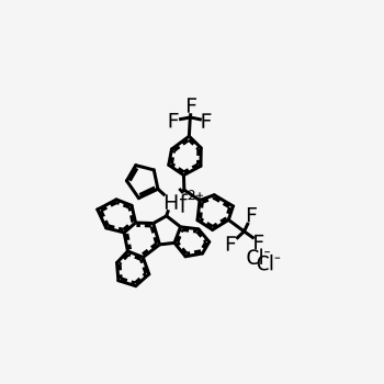 FC(F)(F)c1ccc([C](c2ccc(C(F)(F)F)cc2)=[Hf+2]([C]2=CC=CC2)[CH]2c3ccccc3-c3c2c2ccccc2c2ccccc32)cc1.[Cl-].[Cl-]